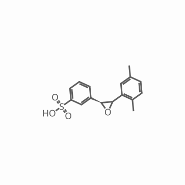 Cc1ccc(C)c(C2O[C@H]2c2cccc(S(=O)(=O)O)c2)c1